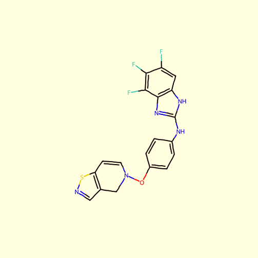 Fc1cc2[nH]c(Nc3ccc(ON4C=Cc5sncc5C4)cc3)nc2c(F)c1F